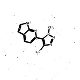 Cc1nnn(C)c1-c1ccc2cc[nH]c2n1